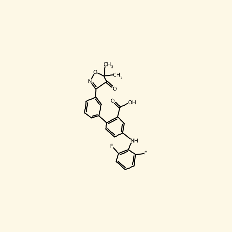 CC1(C)ON=C(c2cccc(-c3ccc(Nc4c(F)cccc4F)cc3C(=O)O)c2)C1=O